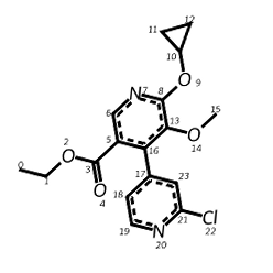 CCOC(=O)c1cnc(OC2CC2)c(OC)c1-c1ccnc(Cl)c1